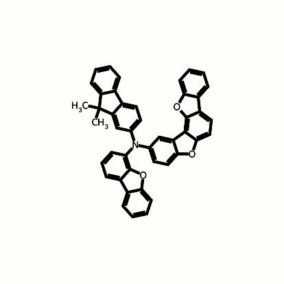 CC1(C)c2ccccc2-c2ccc(N(c3ccc4oc5ccc6c7ccccc7oc6c5c4c3)c3cccc4c3oc3ccccc34)cc21